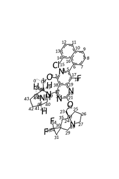 C[C@@H]1Oc2nc(-c3cccc4cccc(Cl)c34)c(F)c3nc(OC[C@@]45CCCN4CC4(CC4(F)F)C5)nc(c23)N2C[C@H]3CC[C@H](N3)[C@@H]12